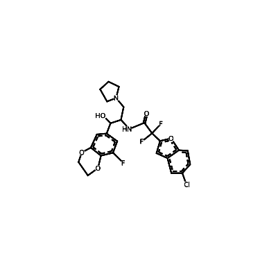 O=C(NC(CN1CCCC1)C(O)c1cc(F)c2c(c1)OCCO2)C(F)(F)c1cc2cc(Cl)ccc2o1